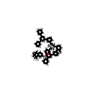 CC1(C)c2ccc(-n3c4ccccc4c4cc(-c5ccc6sc7cccc(-c8nc(-c9ccccc9)nc(-c9cccc(-c%10cc(-c%11ccccc%11)cc(-c%11ccccc%11)c%10)c9)n8)c7c6c5)ccc43)cc2C(C)(C)C1(C)C